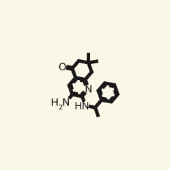 CC(Nc1nc2c(cc1N)C(=O)CC(C)(C)C2)c1ccccc1